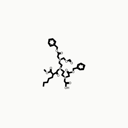 CCCCCC(C(=O)CN(CCN(COC=O)CC(=O)OCc1ccccc1)CCN(CC(=O)O)CC(=O)OCc1ccccc1)C(=O)OC